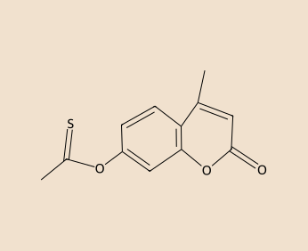 CC(=S)Oc1ccc2c(C)cc(=O)oc2c1